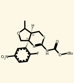 CC1OC[C@]2(c3cc([N+](=O)[O-])ccc3F)N=C(NC(=O)OC(C)(C)C)SC[C@H]12